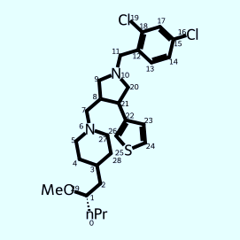 CCC[C@@H](CC1CCN(CC2CN(Cc3ccc(Cl)cc3Cl)CC2c2ccsc2)CC1)OC